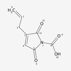 C=CCC1=CC(=O)N(C(=O)O)C1=O